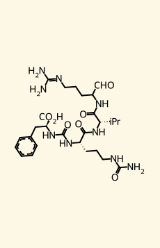 CC(C)[C@H](NC(=O)[C@H](CCCNC(N)=O)NC(=O)N[C@@H](Cc1ccccc1)C(=O)O)C(=O)NC(C=O)CCCN=C(N)N